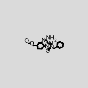 Nc1nc2cc(COC=O)ccc2n2c(=O)n(Cc3ccccc3)nc12